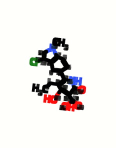 CCc1c(-c2ccc3c(c2)c(Cl)cn3C)[nH]c(=O)c(C(=O)O)c1O